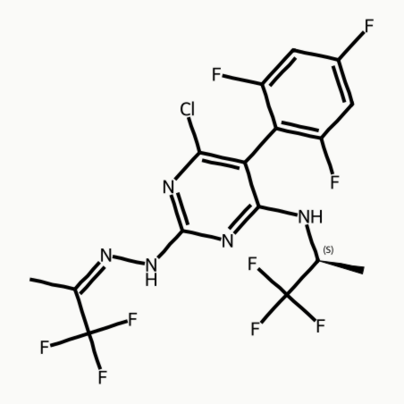 CC(=NNc1nc(Cl)c(-c2c(F)cc(F)cc2F)c(N[C@@H](C)C(F)(F)F)n1)C(F)(F)F